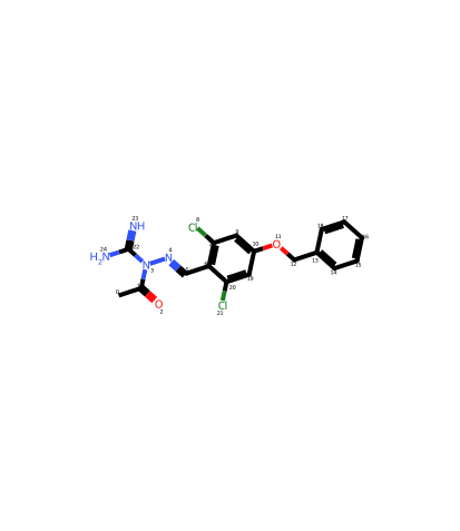 CC(=O)N(/N=C/c1c(Cl)cc(OCc2ccccc2)cc1Cl)C(=N)N